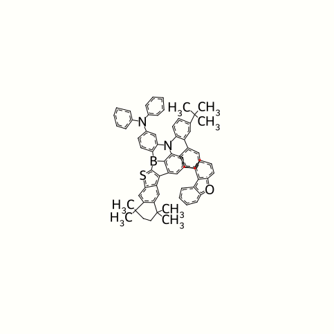 CC(C)(C)c1ccc(N2c3cc(N(c4ccccc4)c4ccccc4)ccc3B3c4sc5cc6c(cc5c4-c4cc(-c5cccc7oc8ccccc8c57)cc2c43)C(C)(C)CCC6(C)C)c(-c2ccccc2)c1